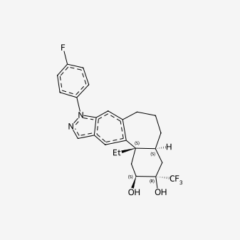 CC[C@]12C[C@H](O)[C@@](O)(C(F)(F)F)C[C@@H]1CCCc1cc3c(cnn3-c3ccc(F)cc3)cc12